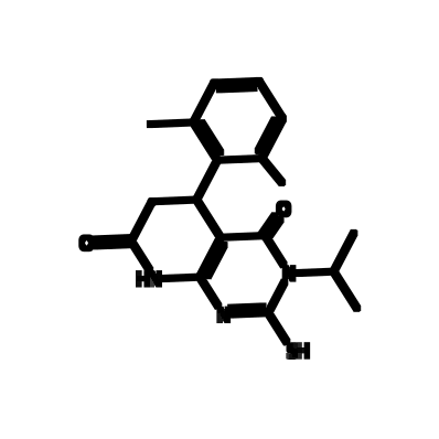 Cc1cccc(C)c1C1CC(=O)Nc2nc(S)n(C(C)C)c(=O)c21